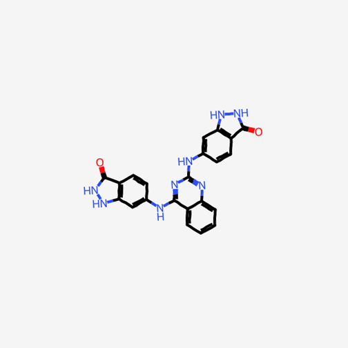 O=c1[nH][nH]c2cc(Nc3nc(Nc4ccc5c(=O)[nH][nH]c5c4)c4ccccc4n3)ccc12